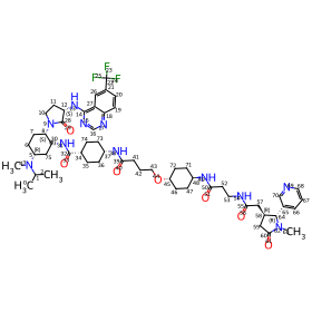 CC(C)N(C)[C@@H]1CC[C@H](N2CC[C@H](Nc3ncnc4ccc(C(F)(F)F)cc34)C2=O)[C@H](NC(=O)[C@H]2CC[C@@H](NC(=O)CCCO[C@H]3CC[C@H](NC(=O)CCNC(=O)C[C@@H]4CC(=O)N(C)[C@H]4c4cccnc4)CC3)CC2)C1